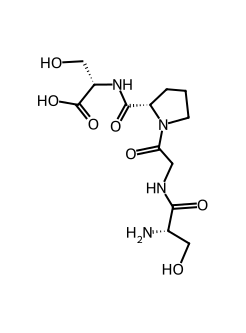 N[C@@H](CO)C(=O)NCC(=O)N1CCC[C@H]1C(=O)N[C@@H](CO)C(=O)O